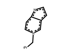 C[C](C)Cn1ccc2nccc-2c1